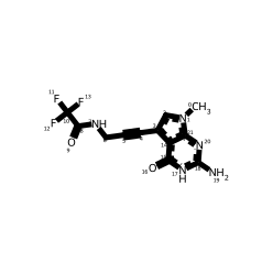 Cn1cc(C#CCNC(=O)C(F)(F)F)c2c(=O)[nH]c(N)nc21